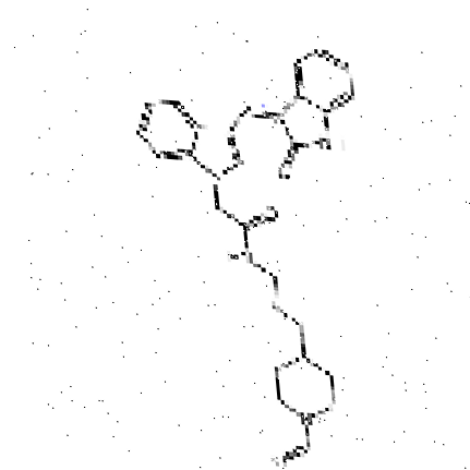 O=CN1CCC(CCCNC(=O)Cn2cc(/C=C3\C(=O)Nc4ccccc43)c3ccccc32)CC1